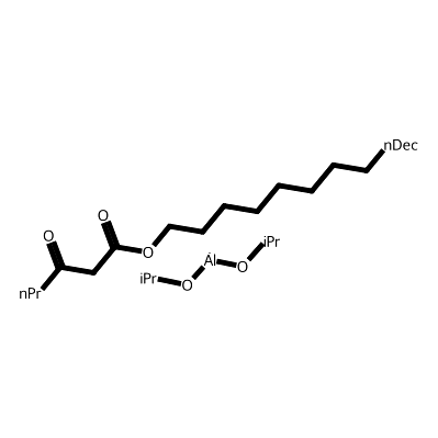 CC(C)[O][Al][O]C(C)C.CCCCCCCCCCCCCCCCCCOC(=O)CC(=O)CCC